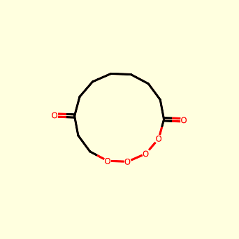 O=C1CCCCCCC(=O)OOOOCC1